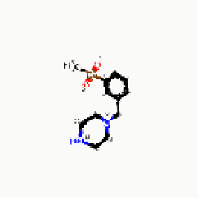 CS(=O)(=O)c1cccc(CN2CCNCC2)c1